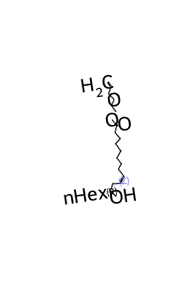 C=CCOCCOC(=O)CCCCCCC/C=C\C[C@H](O)CCCCCC